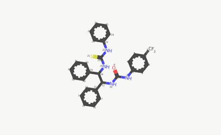 O=C(Nc1ccc(C(F)(F)F)cc1)NC(c1ccccc1)C(NC(=S)Nc1ccccc1)c1ccccc1